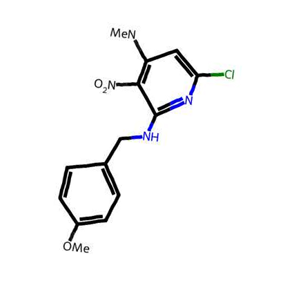 CNc1cc(Cl)nc(NCc2ccc(OC)cc2)c1[N+](=O)[O-]